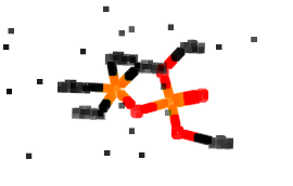 CCCCCCP(CCCCCC)(CCCCCC)(CCCCCC)OP(=O)(OCCCC)OCCCC